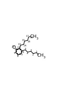 CCCCCCc1cccc([O])c1CCCCCC